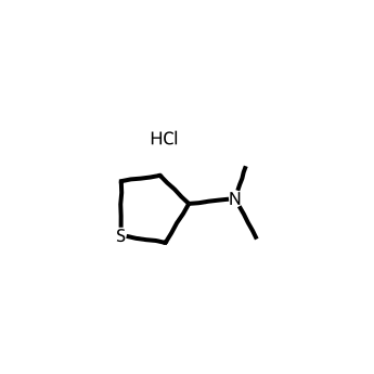 CN(C)C1CCSC1.Cl